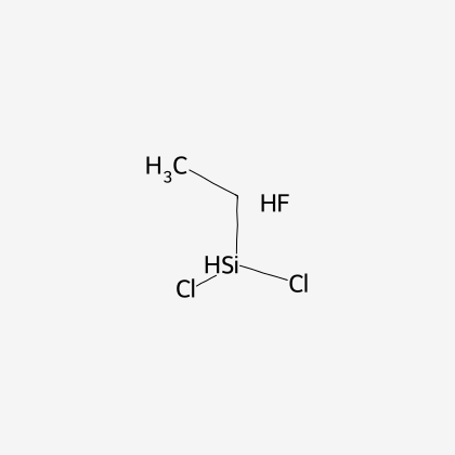 CC[SiH](Cl)Cl.F